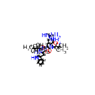 CC(C)CCN(CC(N)=O)C(=O)[C@H](CCCNC(=N)N)NC(=O)C(Cc1c[nH]c2ccccc12)NC(=O)C(C)CC(C)(C)C